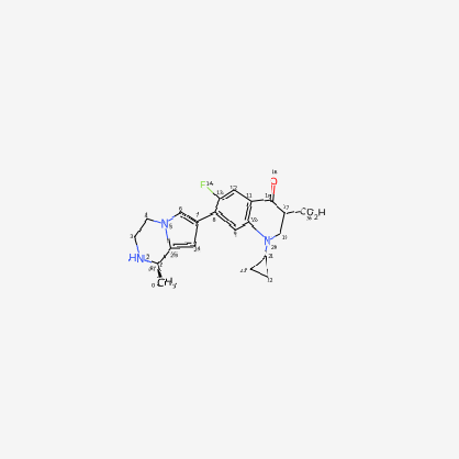 C[C@H]1NCCn2cc(-c3cc4c(cc3F)C(=O)C(C(=O)O)CN4C3CC3)cc21